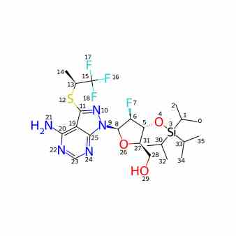 CC(C)[Si](O[C@H]1[C@H](F)[C@H](n2nc(S[C@@H](C)C(F)(F)F)c3c(N)ncnc32)O[C@@H]1CO)(C(C)C)C(C)C